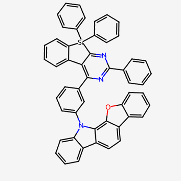 c1ccc(-c2nc(-c3cccc(-n4c5ccccc5c5ccc6c7ccccc7oc6c54)c3)c3c(n2)[Si](c2ccccc2)(c2ccccc2)c2ccccc2-3)cc1